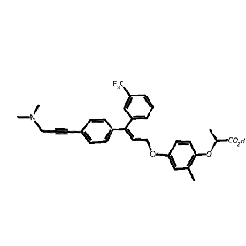 Cc1cc(OCC=C(c2ccc(C#CCN(C)C)cc2)c2cccc(C(F)(F)F)c2)ccc1OC(C)C(=O)O